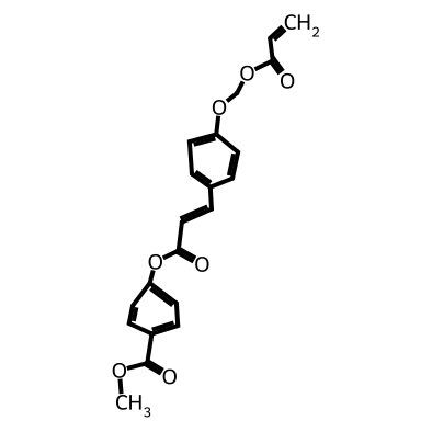 C=CC(=O)OCOc1ccc(C=CC(=O)Oc2ccc(C(=O)OC)cc2)cc1